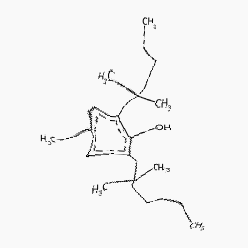 CCCC(C)(C)c1cc(C)cc(C(C)(C)CCC)c1O